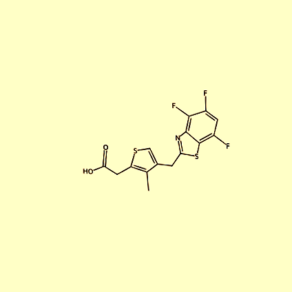 Cc1c(Cc2nc3c(F)c(F)cc(F)c3s2)csc1CC(=O)O